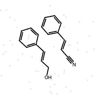 N#C/C=C/c1ccccc1.OC/C=C/c1ccccc1